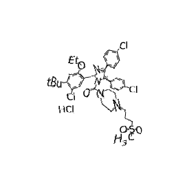 CCOc1cc(C(C)(C)C)c(Cl)cc1C1=N[C@@H](c2ccc(Cl)cc2)[C@@H](c2ccc(Cl)cc2)N1C(=O)N1CCN(CCCS(C)(=O)=O)CC1.Cl